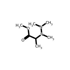 COC(=O)C(C)N(C)N(C)C